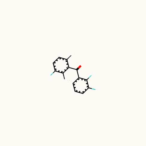 COc1c(F)ccc(C(F)(F)F)c1C(=O)c1cccc(F)c1F